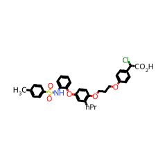 CCCc1cc(Oc2ccccc2NS(=O)(=O)c2ccc(C)cc2)ccc1OCCCOc1ccc(C(Cl)C(=O)O)cc1